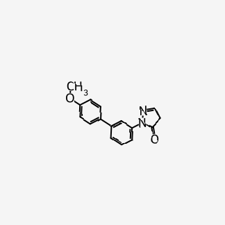 COc1ccc(-c2cccc(N3N=CCC3=O)c2)cc1